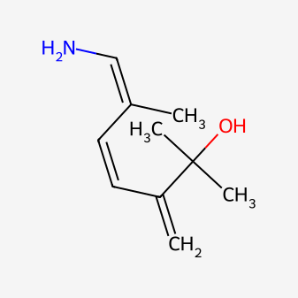 C=C(/C=C\C(C)=C/N)C(C)(C)O